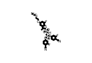 Cc1c(S(=O)(=O)NCP(=O)(Oc2ccc(C#N)c(F)c2)Oc2ccc(C#N)c(F)c2)sc2c(F)cc(OCCN=[N+]=[N-])cc12